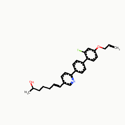 C=CCOc1ccc(-c2ccc(-c3ccc(C=CCCCC(C)O)cn3)cc2)c(F)c1